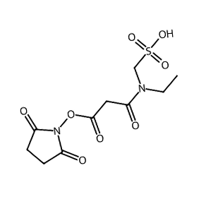 CCN(CS(=O)(=O)O)C(=O)CC(=O)ON1C(=O)CCC1=O